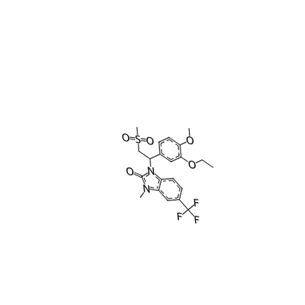 CCOc1cc(C(CS(C)(=O)=O)n2c(=O)n(C)c3cc(C(F)(F)F)ccc32)ccc1OC